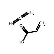 C=C=N.C=CC(=O)O